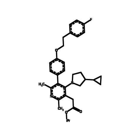 Cc1nc(C)c(-c2ccc(OCCc3ccc(F)cc3)cc2)c(N2CCC(C3CC3)C2)c1CC(=O)OC(C)C